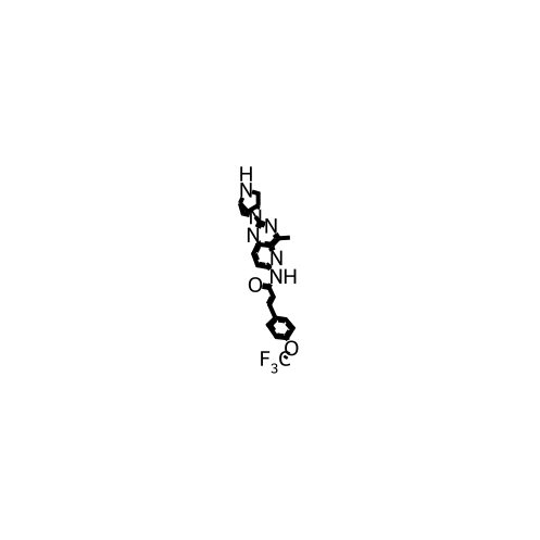 Cc1nc(N2CC3CC2CN3)nc2ccc(NC(=O)/C=C/c3ccc(OC(F)(F)F)cc3)nc12